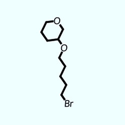 BrCCCCCOC1CCCOC1